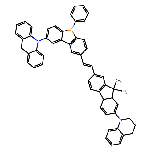 CC1(C)c2cc(/C=C/c3ccc4c(c3)c3cc(N5c6ccccc6Cc6ccccc65)ccc3p4-c3ccccc3)ccc2C2C=CC(N3CCCc4ccccc43)=CC21